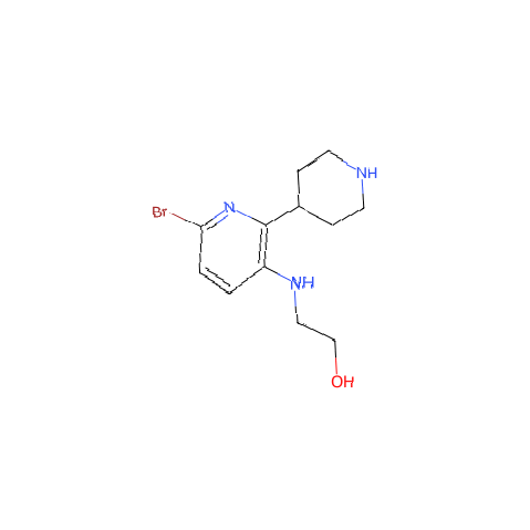 OCCNc1ccc(Br)nc1C1CCNCC1